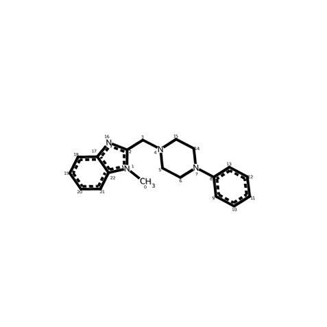 Cn1c(CN2CCN(c3ccccc3)CC2)nc2ccccc21